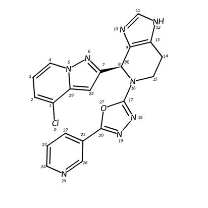 Clc1cccn2nc([C@H]3c4nc[nH]c4CCN3c3nnc(-c4cccnc4)o3)cc12